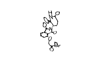 O=C(Br)COc1cccc2c1C(=O)N(C1CCC(=O)NC1=O)C2=O